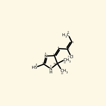 C/C=C(Cl)\C=C1\N=C(S)NC1(C)C